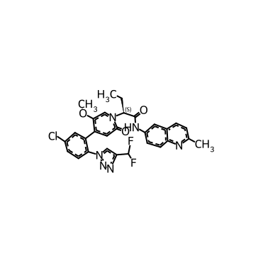 CC[C@@H](C(=O)Nc1ccc2nc(C)ccc2c1)n1cc(OC)c(-c2cc(Cl)ccc2-n2cc(C(F)F)nn2)cc1=O